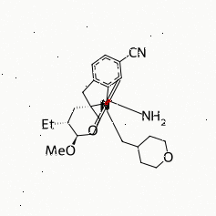 CC[C@@H]1C[C@]2(CC[C@H]1OC)Cc1ccc(C#N)cc1C21N=C(N)N(CC2CCOCC2)C1=O